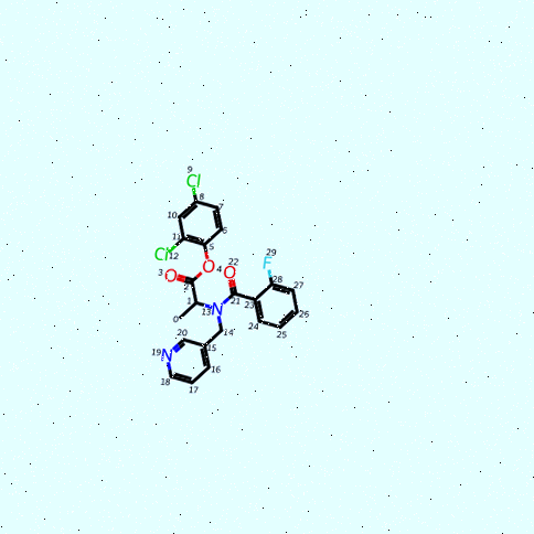 CC(C(=O)Oc1ccc(Cl)cc1Cl)N(Cc1cccnc1)C(=O)c1ccccc1F